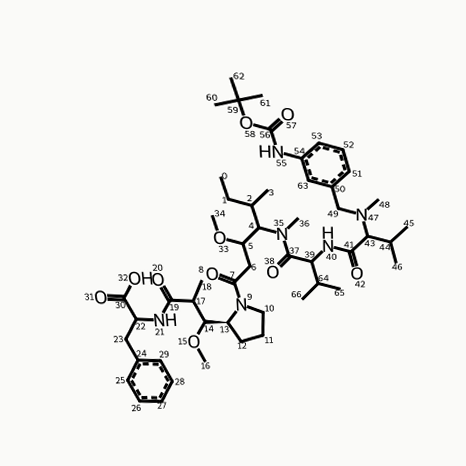 CCC(C)C(C(CC(=O)N1CCC[C@H]1C(OC)C(C)C(=O)NC(Cc1ccccc1)C(=O)O)OC)N(C)C(=O)C(NC(=O)C(C(C)C)N(C)Cc1cccc(NC(=O)OC(C)(C)C)c1)C(C)C